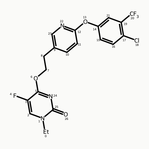 CCn1cc(F)c(OCCc2ccc(Oc3ccc(Cl)c(C(F)(F)F)c3)nc2)nc1=O